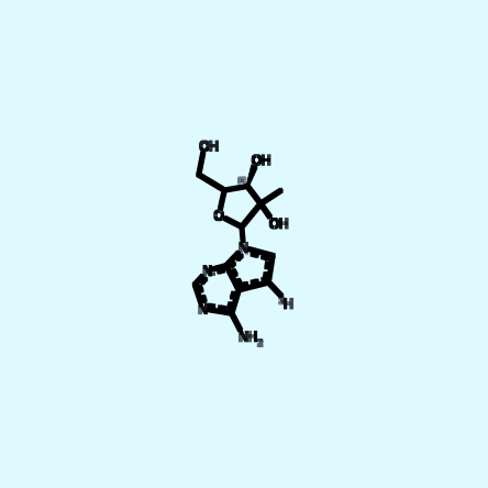 [3H]c1cn(C2OC(CO)[C@@H](O)C2(C)O)c2ncnc(N)c12